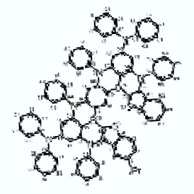 CC(C)c1ccc2sc3c(c2c1)N(c1ccccc1)c1cc(N(c2ccccc2)c2ccccc2)cc2c1B3c1cc3c(cc1N2c1ccccc1)N(c1ccccc1)c1cc(N(c2ccccc2)c2ccccc2)cc2c1B3c1sc3ccccc3c1N2c1ccccc1